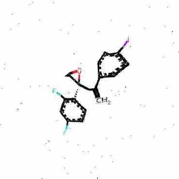 C=C(c1ccc(I)cc1)[C@@]1(c2ccc(F)cc2F)CO1